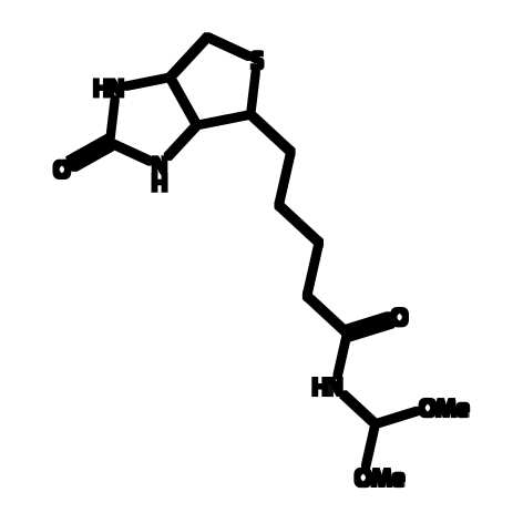 COC(NC(=O)CCCCC1SCC2NC(=O)NC21)OC